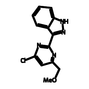 COCc1cc(Cl)nc(-c2n[nH]c3ccccc23)n1